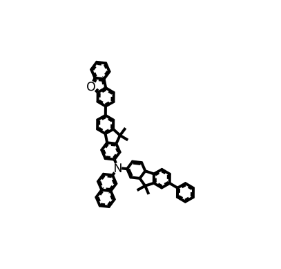 CC1(C)c2cc(-c3ccc4c(c3)oc3ccccc34)ccc2-c2ccc(N(C3=CC4C(C=C3)c3ccc(-c5ccccc5)cc3C4(C)C)c3ccc4ccccc4c3)cc21